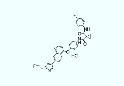 Cl.O=C(Nc1ccc(F)cc1)C1(C(=O)Nc2ccc(Oc3ccnc4cc(-c5cnn(CCF)c5)ccc34)cc2)CC1